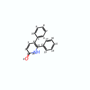 O=c1ccc(-c2ccccc2)c(-c2ccccc2)[nH]1